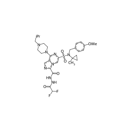 COc1ccc(CN(C2(C)CC2)S(=O)(=O)c2cn3c(C(=O)NNC(=O)C(F)F)ncc3c(N3CCN(CC(C)C)CC3)n2)cc1